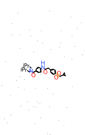 CC(C)CN(CC(C)C)C(=O)c1ccc(NC(=O)Cc2ccc(S(=O)(=O)CC3CC3)cc2)cc1